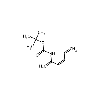 C=C/C=C\C(=C)NC(=O)OC(C)(C)C